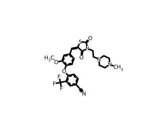 COc1cc(C=C2SC(=O)N(CCN3CCN(C)CC3)C2=O)ccc1Oc1ccc(C#N)cc1C(F)(F)F